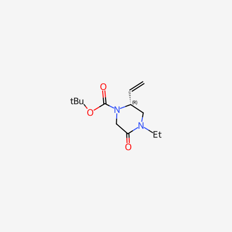 C=C[C@@H]1CN(CC)C(=O)CN1C(=O)OC(C)(C)C